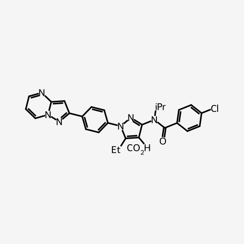 CCc1c(C(=O)O)c(N(C(=O)c2ccc(Cl)cc2)C(C)C)nn1-c1ccc(-c2cc3ncccn3n2)cc1